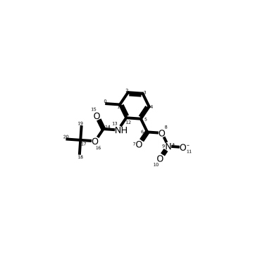 Cc1cccc(C(=O)O[N+](=O)[O-])c1NC(=O)OC(C)(C)C